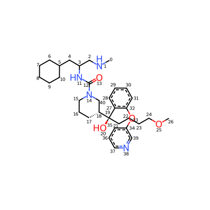 CNCC(CC1CCCCC1)NC(=O)N1CCC[C@@H]([C@@](O)(CCCCOC)c2ccccc2Oc2cccnc2)C1